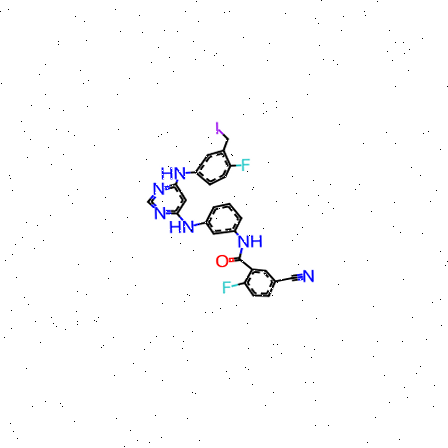 N#Cc1ccc(F)c(C(=O)Nc2cccc(Nc3cc(Nc4ccc(F)c(CI)c4)ncn3)c2)c1